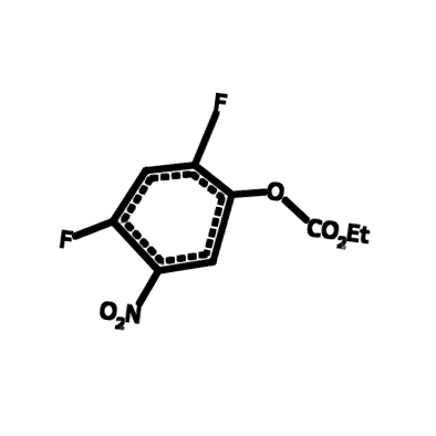 CCOC(=O)Oc1cc([N+](=O)[O-])c(F)cc1F